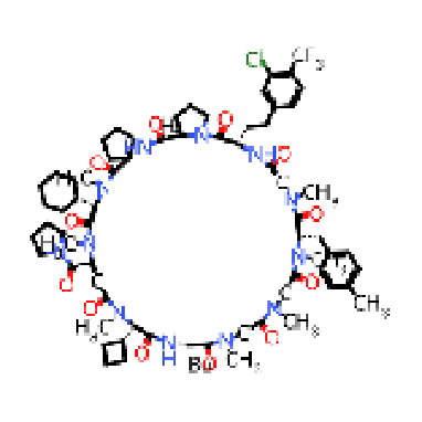 CC[C@H](C)[C@@H]1NC(=O)[C@H](C2CCC2)N(C)C(=O)C[C@@H](C(=O)N2CCCC2)N(C)C(=O)[C@H](C2CCCCC2)N(C)C(=O)C2(CCCC2)NC(=O)[C@@H]2CCCN2C(=O)[C@H](CCc2ccc(C(F)(F)F)c(Cl)c2)NC(=O)CN(C)C(=O)[C@H](Cc2ccc(C)cc2)N(C)C(=O)CN(C)C(=O)CN(C)C1=O